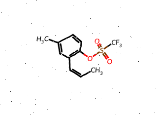 C/C=C\c1cc(C)ccc1OS(=O)(=O)C(F)(F)F